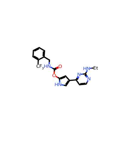 CCNc1nccc(-c2c[nH]c(OC(=O)NCc3ccccc3C(F)(F)F)c2)n1